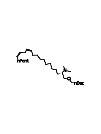 CCCCC/C=C\C/C=C\CCCCCCCCC[C@@H](COCCCCCCCCCCC)N(C)C